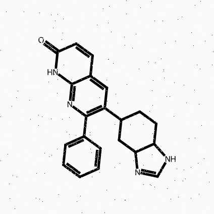 O=c1ccc2cc(C3CCC4NC=NC4C3)c(-c3ccccc3)nc2[nH]1